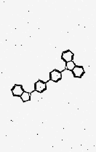 c1ccc2c(c1)CCN2c1ccc(-c2ccc(-n3c4ccccc4c4ccccc43)cc2)cc1